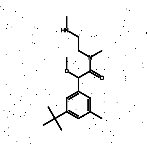 CNCCN(C)C(=O)C(OC)c1cc(C)cc(C(C)(C)C)c1